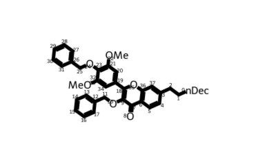 CCCCCCCCCCCCc1ccc2c(=O)c(OCc3ccccc3)c(-c3cc(OC)c(OCc4ccccc4)c(OC)c3)oc2c1